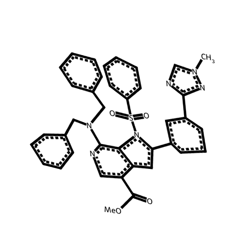 COC(=O)c1cnc(N(Cc2ccccc2)Cc2ccccc2)c2c1cc(-c1cccc(-c3ncn(C)n3)c1)n2S(=O)(=O)c1ccccc1